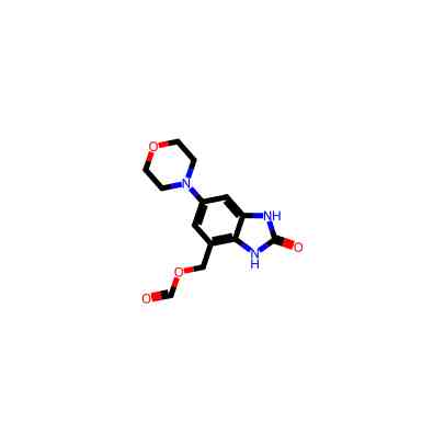 O=COCc1cc(N2CCOCC2)cc2[nH]c(=O)[nH]c12